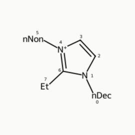 CCCCCCCCCCn1cc[n+](CCCCCCCCC)c1CC